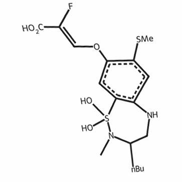 CCCCC1CNc2cc(SC)c(O/C=C(\F)C(=O)O)cc2S(O)(O)N1C